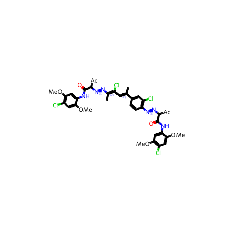 COc1cc(NC(=O)C(/N=N/C(C)=C(Cl)/C=C(\C)c2ccc(/N=N/C(C(C)=O)C(=O)Nc3cc(OC)c(Cl)cc3OC)c(Cl)c2)C(C)=O)c(OC)cc1Cl